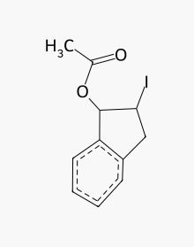 CC(=O)OC1c2ccccc2CC1I